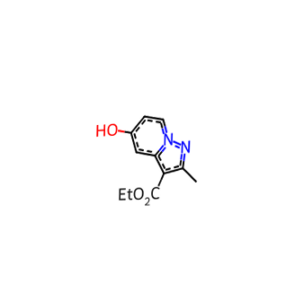 CCOC(=O)c1c(C)nn2ccc(O)cc12